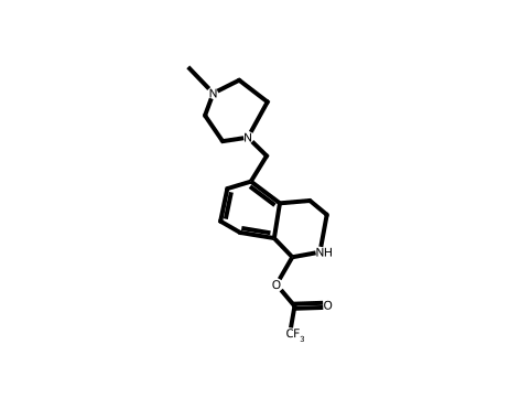 CN1CCN(Cc2cccc3c2CCNC3OC(=O)C(F)(F)F)CC1